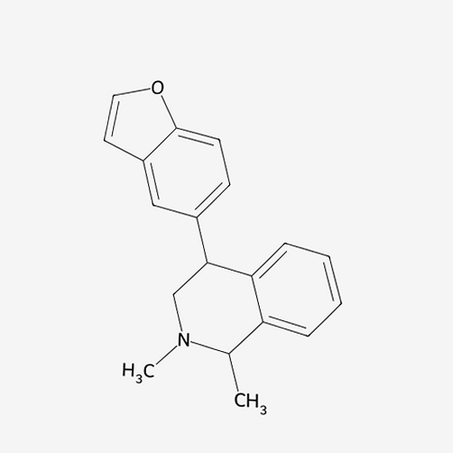 CC1c2ccccc2C(c2ccc3occc3c2)CN1C